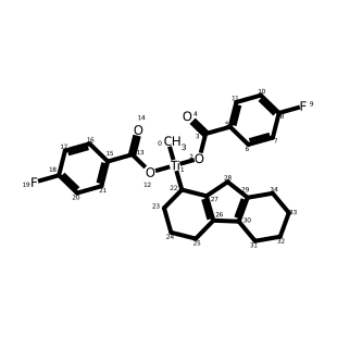 [CH3][Ti]([O]C(=O)c1ccc(F)cc1)([O]C(=O)c1ccc(F)cc1)[CH]1CCCC2=C1CC1=C2CCCC1